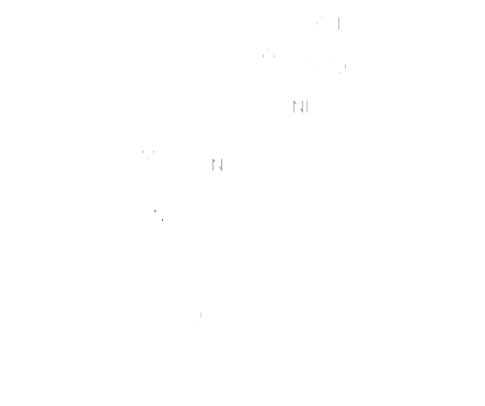 CS(=O)(=O)NC1CCN2C(=O)N3CCC3COc3ccccc3-c3cccc(c3)CC12